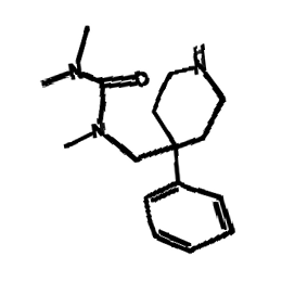 CN(C)C(=O)N(C)CC1(c2ccccc2)CCNCC1